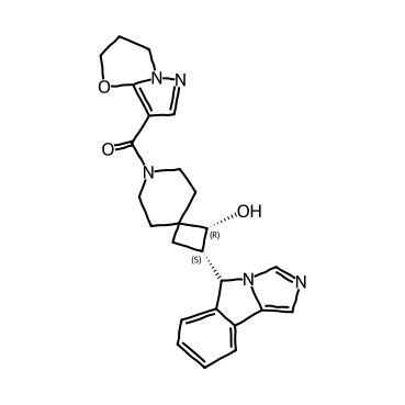 O=C(c1cnn2c1OCCC2)N1CCC2(CC1)C[C@@H](C1c3ccccc3-c3cncn31)[C@H]2O